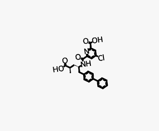 C[C@H](C[C@@H](Cc1ccc(-c2ccccc2)cc1)NC(=O)c1cc(Cl)cc(C(=O)O)n1)C(=O)O